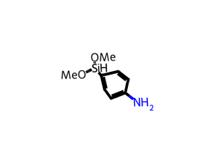 CO[SiH](OC)c1ccc(N)cc1